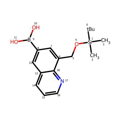 CC(C)(C)[Si](C)(C)OCc1cc(B(O)O)cc2cccnc12